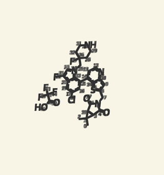 CC1(C)C2C(=O)N(Cc3cc4nccc(-c5cc(Cl)cc6c(F)cn(CC7(F)CCNCC7)c56)c4s3)C(=O)C21.O=C(O)C(F)(F)F